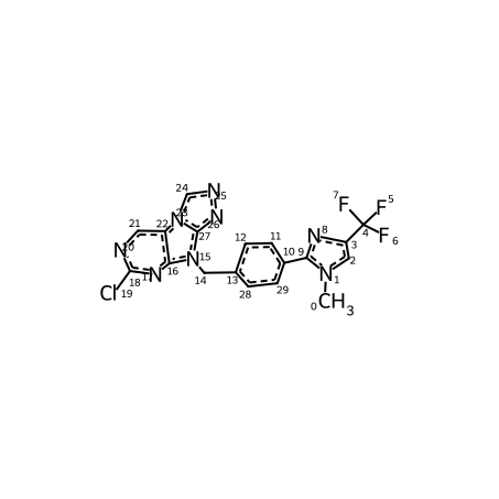 Cn1cc(C(F)(F)F)nc1-c1ccc(Cn2c3nc(Cl)ncc3n3cnnc23)cc1